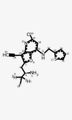 [2H]C([2H])(F)[C@H](N)Cc1oc2c(NCc3cccs3)cc(Cl)nc2c1C#C